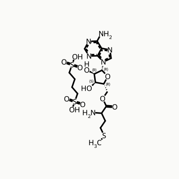 CSCCC(N)C(=O)OC[C@H]1O[C@@H](n2cnc3c(N)ncnc32)[C@H](O)[C@@H]1O.O=S(=O)(O)CCCCS(=O)(=O)O